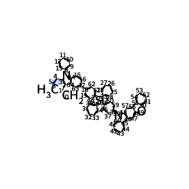 C=Cc1c(/C=C\C)n(-c2ccccc2)c2ccc(-c3ccc([Si](c4ccccc4)(c4ccccc4)c4ccc(-n5c6ccccc6c6cc7oc8ccccc8c7cc65)cc4)cc3)cc12